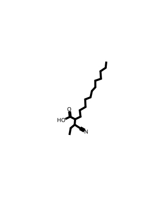 CCCCCCCCCCCCC(C(=O)O)C(C#N)CC